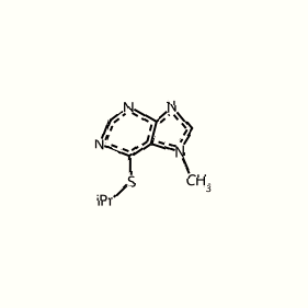 CC(C)Sc1ncnc2ncn(C)c12